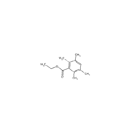 CCOC(=O)c1c(C)c(C)cc(C)c1C